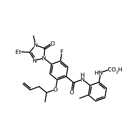 C=CCC(C)Oc1cc(-n2nc(CC)n(C)c2=O)c(F)cc1C(=O)Nc1c(C)cccc1NC(=O)O